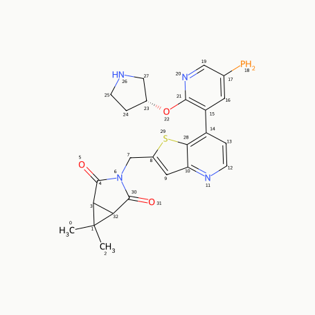 CC1(C)C2C(=O)N(Cc3cc4nccc(-c5cc(P)cnc5O[C@@H]5CCNC5)c4s3)C(=O)C21